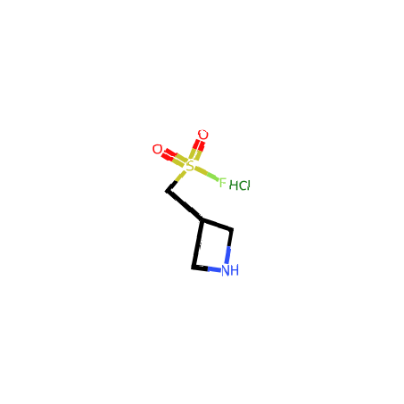 Cl.O=S(=O)(F)CC1CNC1